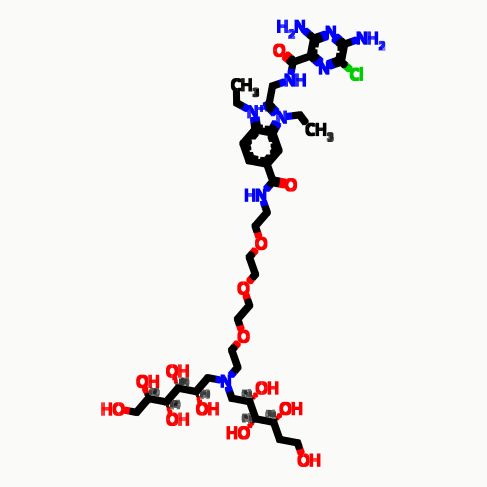 CCn1c(CNC(=O)c2nc(Cl)c(N)nc2N)[n+](CC)c2ccc(C(=O)NCCOCCOCCOCCN(C[C@H](O)[C@@H](O)[C@H](O)[C@H](O)CO)C[C@H](O)[C@@H](O)[C@H](O)CCO)cc21